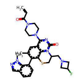 C=CC(=O)N1CCN(c2nc(=O)n3c4c(c(-c5cccc6cnn(C)c56)c(C)cc24)SCC3CN2CC(F)C2)CC1